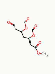 COC(=O)/C=C(/CC(CC=O)OC=O)OC=O